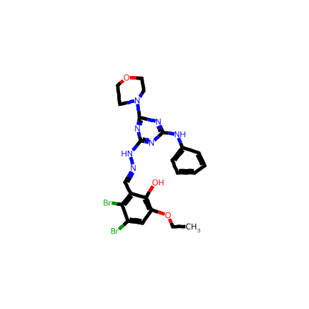 CCOc1cc(Br)c(Br)c(C=NNc2nc(Nc3ccccc3)nc(N3CCOCC3)n2)c1O